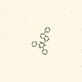 c1ccc(-c2nc(-c3ccccc3)nc(-c3cccc4c(-c5ccccc5)cccc34)n2)cc1